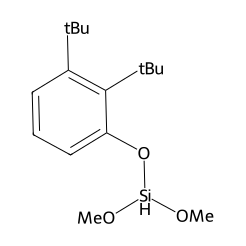 CO[SiH](OC)Oc1cccc(C(C)(C)C)c1C(C)(C)C